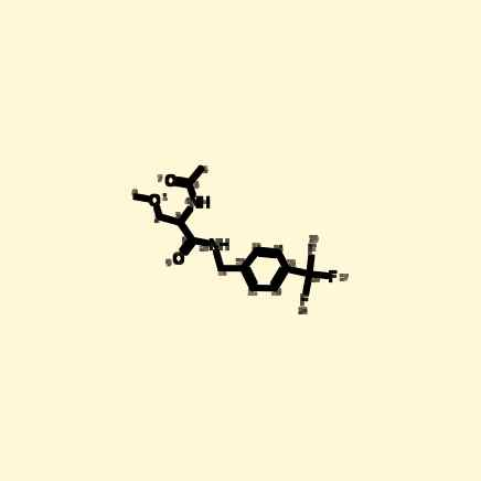 COCC(NC(C)=O)C(=O)NCc1ccc(C(F)(F)F)cc1